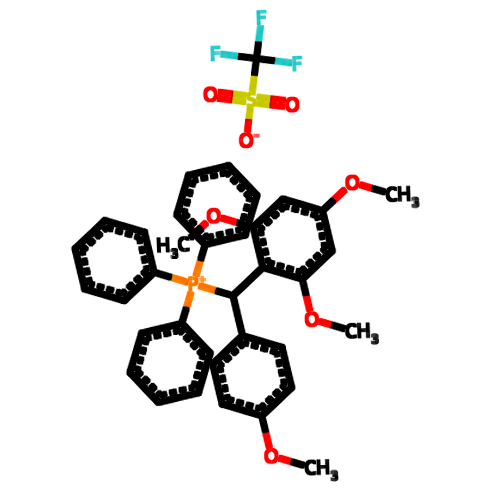 COc1ccc(C(c2c(OC)cc(OC)cc2OC)[P+](c2ccccc2)(c2ccccc2)c2ccccc2)cc1.O=S(=O)([O-])C(F)(F)F